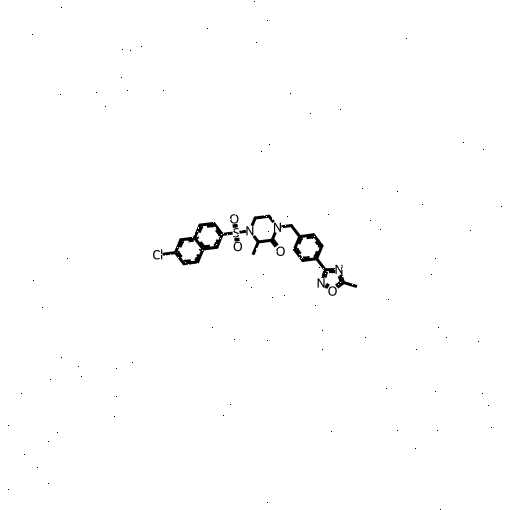 Cc1nc(-c2ccc(CN3CCN(S(=O)(=O)c4ccc5cc(Cl)ccc5c4)C(C)C3=O)cc2)no1